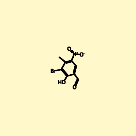 Cc1c([N+](=O)[O-])cc(C=O)c(O)c1Br